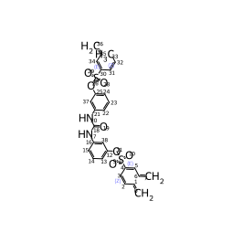 C=C/C=C\C(=C/C=C)S(=O)(=O)Oc1cccc(NC(=O)Nc2cccc(OS(=O)(=O)C(/C=C\C)=C/C=C)c2)c1